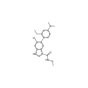 CCc1cc(N(C)C)ccc1-c1cc2c(C(=O)NOC)c[nH]c2cc1Cl